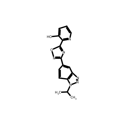 CC(C)n1nnc2cc(-c3noc(-c4ncccc4O)n3)ccc21